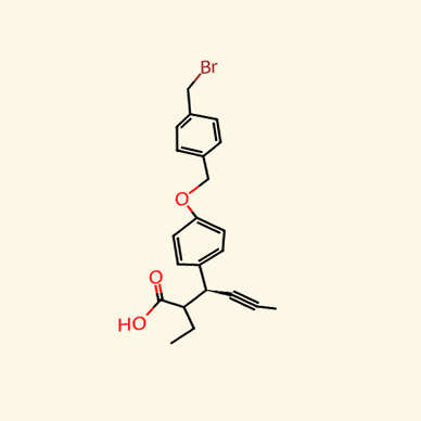 CC#C[C@H](c1ccc(OCc2ccc(CBr)cc2)cc1)C(CC)C(=O)O